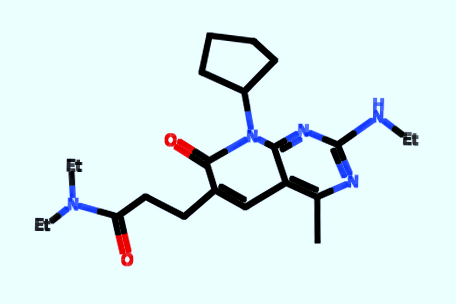 CCNc1nc(C)c2cc(CCC(=O)N(CC)CC)c(=O)n(C3CCCC3)c2n1